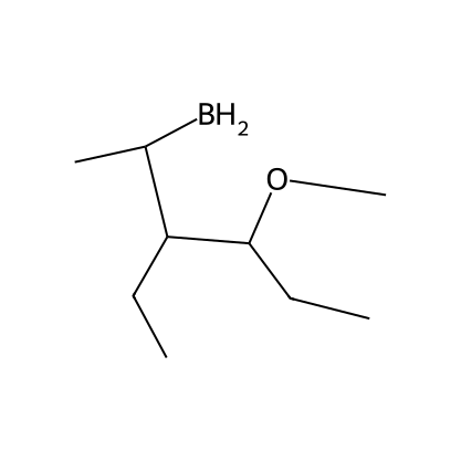 BC(C)C(CC)C(CC)OC